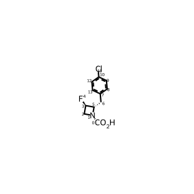 O=C(O)N1C[C@@H](F)[C@@H]1Cc1ccc(Cl)cc1